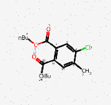 CCCCOC(=O)c1cc(Cl)c(C)cc1C(=O)OCC(C)C